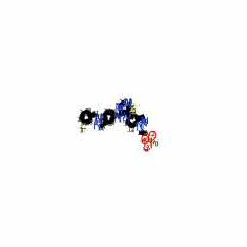 CS(=O)(=O)OCCn1ncc2c1CCc1c-2sc2ncnc(Nc3ccc4c(cnn4Cc4cccc(F)c4)c3)c12